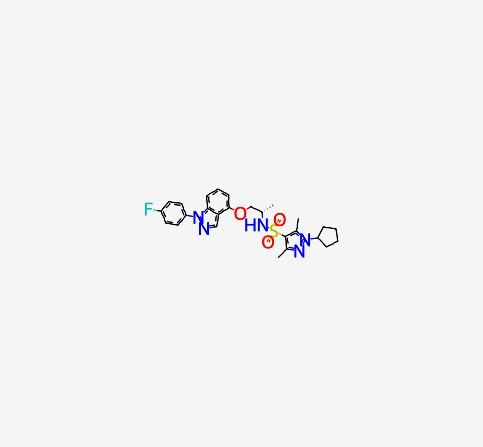 Cc1nn(C2CCCC2)c(C)c1S(=O)(=O)N[C@@H](C)COc1cccc2c1cnn2-c1ccc(F)cc1